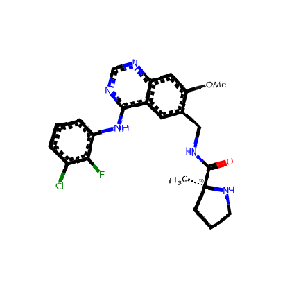 COc1cc2ncnc(Nc3cccc(Cl)c3F)c2cc1CNC(=O)[C@]1(C)CCCN1